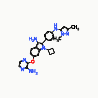 Cc1cc(Nc2ccc(-c3c(N)c4ccc(Oc5nccnc5N)cc4n3C3CCC3)cc2)n(C)n1